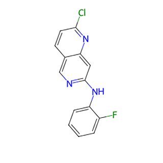 Fc1ccccc1Nc1cc2nc(Cl)ccc2cn1